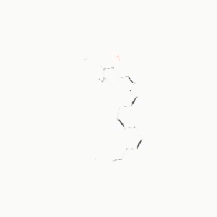 CCCCCC(C(O)C/C=C\C/C=C\C/C=C\C/C=C\CC[C]=O)[N+](=O)[O-]